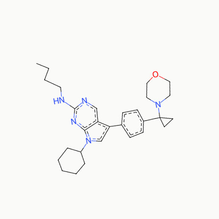 CCCCNc1ncc2c(-c3ccc(C4(N5CCOCC5)CC4)cc3)cn(C3CCCCC3)c2n1